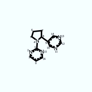 c1cnc(N2CCCC2c2cncnc2)nc1